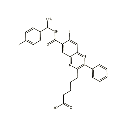 CC(NC(=O)c1cc2nc(CCCCC(=O)O)c(-c3ccccc3)nc2cc1F)c1ccc(F)cc1